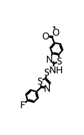 COC(=O)c1ccc2sc(NSc3cnc(-c4ccc(F)cc4)s3)nc2c1